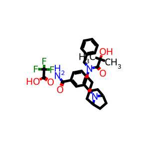 CC(C)(O)C(=O)N(CCCN1C2CCC1CC(c1cccc(C(N)=O)c1)C2)Cc1ccccc1.O=C(O)C(F)(F)F